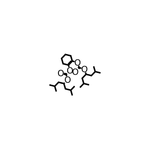 CC(C)CC(CC(C)C)OC(=O)OC1=C(OC(=O)OC(CC(C)C)CC(C)C)CCCC1